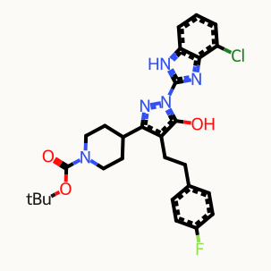 CC(C)(C)OC(=O)N1CCC(c2nn(-c3nc4c(Cl)cccc4[nH]3)c(O)c2CCc2ccc(F)cc2)CC1